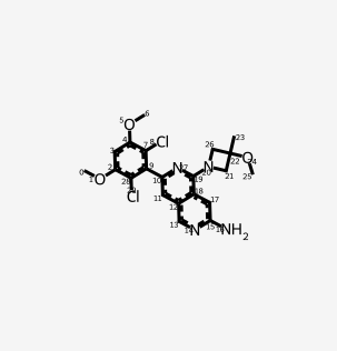 COc1cc(OC)c(Cl)c(-c2cc3cnc(N)cc3c(N3CC(C)(OC)C3)n2)c1Cl